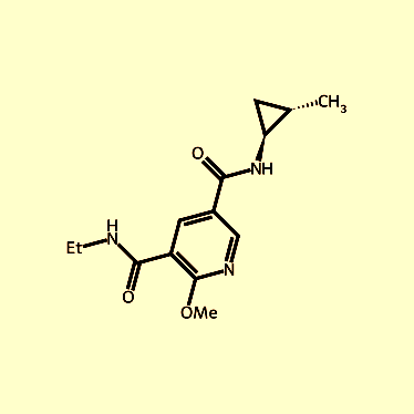 CCNC(=O)c1cc(C(=O)N[C@H]2C[C@@H]2C)cnc1OC